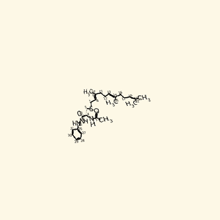 CC(=O)N[C@@H](CSC/C=C(\C)CC/C=C(\C)CCC=C(C)C)C(=O)NNc1ccccc1